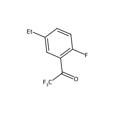 CCc1ccc(F)c(C(=O)C(F)(F)F)c1